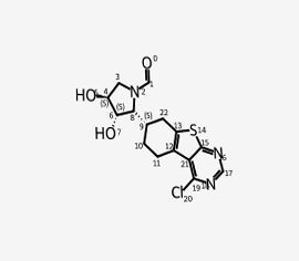 O=CN1C[C@H](O)[C@@H](O)C1[C@H]1CCc2c(sc3ncnc(Cl)c23)C1